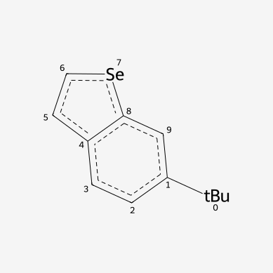 CC(C)(C)c1ccc2cc[se]c2c1